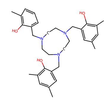 Cc1cc(C)c(O)c(CN2CCN(Cc3cccc(C)c3O)CCN(Cc3cc(C)cc(C)c3O)CC2)c1